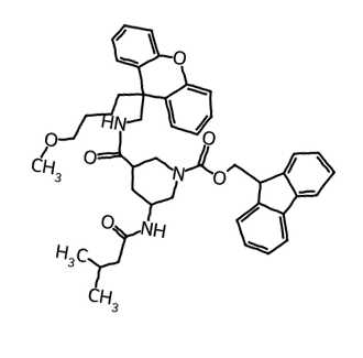 COCCCCC1(CNC(=O)C2CC(NC(=O)CC(C)C)CN(C(=O)OCC3c4ccccc4-c4ccccc43)C2)c2ccccc2Oc2ccccc21